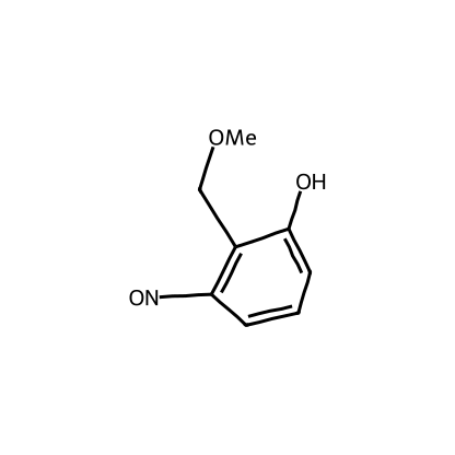 COCc1c(O)cccc1N=O